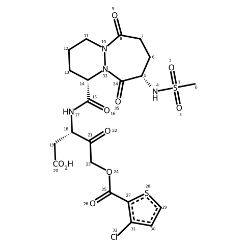 CS(=O)(=O)N[C@H]1CCC(=O)N2CCC[C@@H](C(=O)N[C@@H](CC(=O)O)C(=O)COC(=O)c3sccc3Cl)N2C1=O